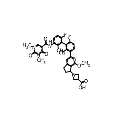 COc1nc(-c2ccc(F)c(-c3c(F)ccc(NC(=O)c4cn(C)c(=O)n(C)c4=O)c3C)c2Cl)cc2c1C(N1CC(C(=O)O)C1)CC2